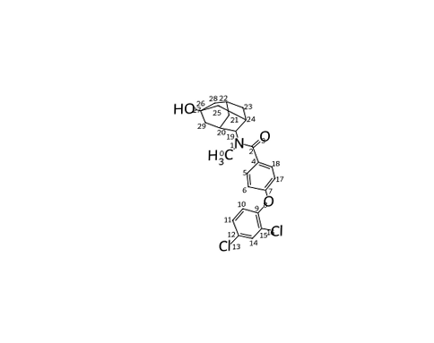 CN(C(=O)c1ccc(Oc2ccc(Cl)cc2Cl)cc1)C1C2CC3CC1CC(O)(C3)C2